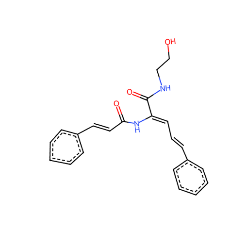 O=C(/C=C/c1ccccc1)N/C(=C\C=C\c1ccccc1)C(=O)NCCO